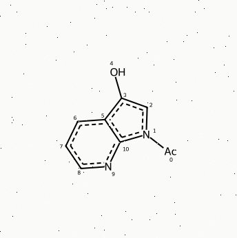 CC(=O)n1cc(O)c2cccnc21